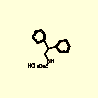 CCCCCCCCCCNCC(c1ccccc1)c1ccccc1.Cl